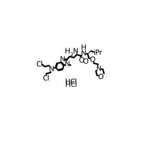 CC(C)C[C@H](NC(=O)[C@@H](N)CCc1nc2cc(N(CCCl)CCCl)ccc2n1C)C(=O)OCCN1CCOCC1.Cl.Cl